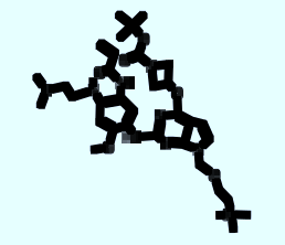 C=CC(=O)Nc1cc(Nc2nc(OC3CN(C(=O)OC(C)(C)C)C3)c3ccn(COCC[Si](C)(C)C)c3n2)c(OC)cc1N(C)CCN(C)C